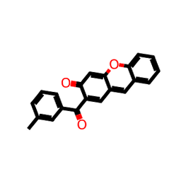 Cc1cccc(C(=O)c2cc3cc4ccccc4oc-3cc2=O)c1